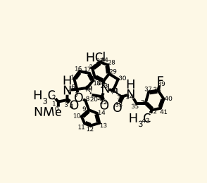 CNC(C)C(=O)NC1(OCc2ccccc2)C=CC=C[C@@H]1CC(=O)N1c2ccccc2C[C@H]1C(=O)NCc1cc(F)ccc1C.Cl